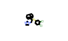 Clc1ccc(SC(Cn2ccnc2)C23CC4CC(CC(C4)C2)C3)cc1Cl